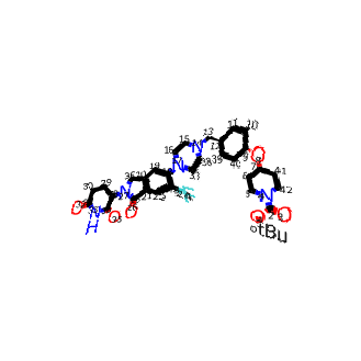 CC(C)(C)OC(=O)N1CCC(O[C@H]2CC[C@H](CN3CCN(c4cc5c(cc4F)C(=O)N(C4CCC(=O)NC4=O)C5)CC3)CC2)CC1